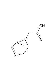 O=C(O)CN1CC2C=CC1C2